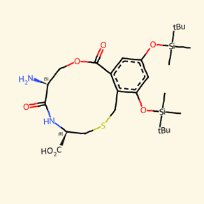 CC(C)(C)[Si](C)(C)Oc1cc(O[Si](C)(C)C(C)(C)C)c2c(c1)C(=O)OC[C@H](N)C(=O)N[C@H](C(=O)O)CSC2